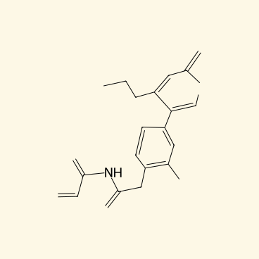 C=CC(=C)NC(=C)Cc1ccc(C(=C/C)/C(=C\C(=C)C)CCC)cc1C